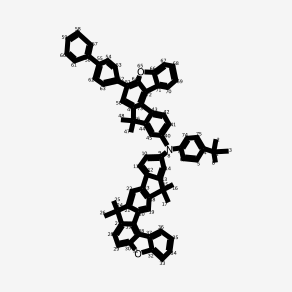 CC(C)(C)c1ccc(N(c2ccc3c(c2)C(C)(C)c2cc4c(cc2-3)C(C)(C)c2ccc3oc5ccccc5c3c2-4)c2ccc3c(c2)C(C)(C)c2cc(-c4ccc(-c5ccccc5)cc4)c4oc5ccccc5c4c2-3)cc1